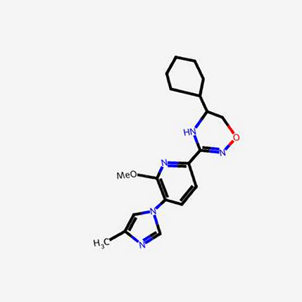 COc1nc(C2=NOCC(C3CCCCC3)N2)ccc1-n1cnc(C)c1